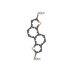 CCCCCCCCc1cc2ccc3c(ccc4cc(CCCCCCCC)sc43)c2s1